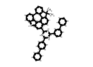 CC1(C)c2cccc3c2-c2c1ccc1c(-c4nc(-c5ccc(-c6ccccc6)cc5)nc(-c5cccc(-c6ccccc6)c5)n4)cc4sc5cccc-3c5c4c21